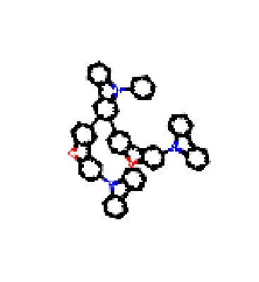 c1ccc(-n2c3ccccc3c3cc(-c4ccc5oc6ccc(-n7c8ccccc8c8ccccc87)cc6c5c4)c(-c4ccc5oc6ccc(-n7c8ccccc8c8ccccc87)cc6c5c4)cc32)cc1